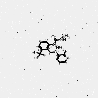 Cc1ncccc1OCc1c(N(N)C(=O)NN)cccc1C(F)(F)F